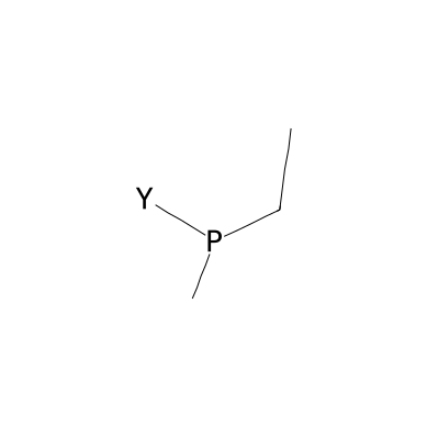 CC[P](C)[Y]